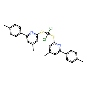 Cc1ccc(-c2cc(C)cc([S][Sn]([Cl])([Cl])[S]c3cc(C)cc(-c4ccc(C)cc4)n3)n2)cc1